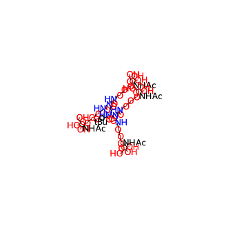 CC(=O)NC1C(OCCOCCOCCNC(=O)CN(CC(=O)NCCOCCOCCOC2OC(CO)C(O)C(O)C2NC(C)=O)C(=O)CCC(NC(=O)c2ccc(OC(C)(C)C)cc2)C(=O)N(CC(=O)NCCOCCOCCOC2OC(CO)C(O)C(O)C2NC(C)=O)CC(=O)NCCOCCOCCOC2OC(CO)C(O)C(O)C2NC(C)=O)OC(CO)C(O)C1O